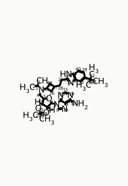 CC(C)N(CC1OC(n2cnc3c(N)ncnc32)[C@@H]2OC(C)(C)O[C@H]12)C1CC(CCc2nc3cc(C(C)(C)C)ccc3[nH]2)C1